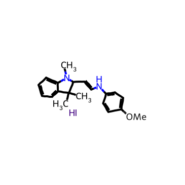 COc1ccc(NC=CC2N(C)c3ccccc3C2(C)C)cc1.I